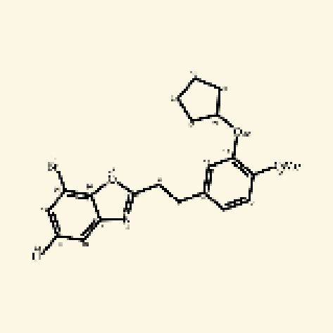 COc1ccc(CCc2nc3cc(Cl)cc(Br)c3o2)cc1OC1CCCC1